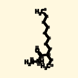 CCCCCCCCC(CC)C(=O)NN